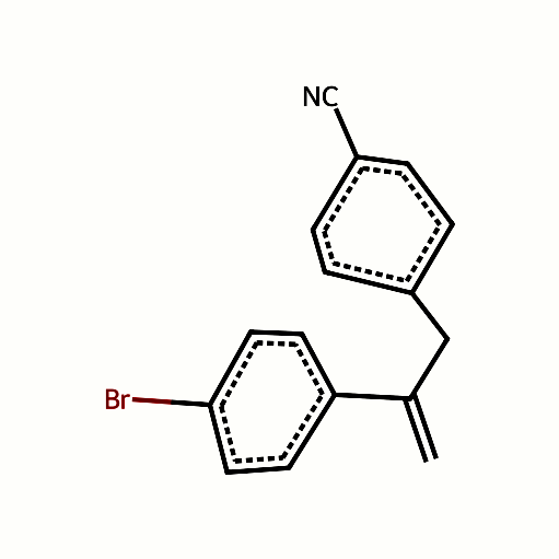 C=C(Cc1ccc(C#N)cc1)c1ccc(Br)cc1